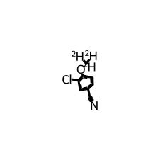 [2H]C([2H])([2H])Oc1ccc(C#N)cc1Cl